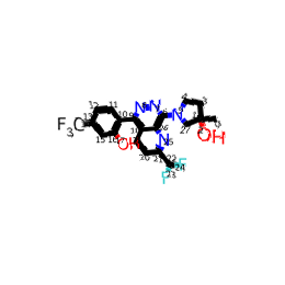 CC1(O)CCN(c2nnc(-c3ccc(C(F)(F)F)cc3O)c3ccc(C(F)F)nc23)C1